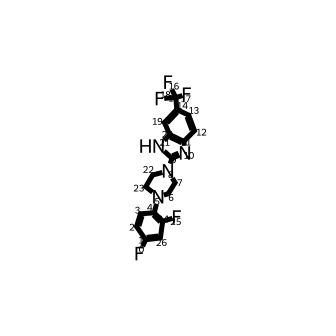 Fc1ccc(N2CCN(c3nc4ccc(C(F)(F)F)cc4[nH]3)CC2)c(F)c1